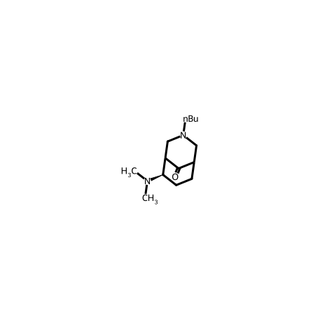 CCCCN1CC2CC[C@@H](N(C)C)C(C1)C2=O